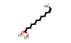 CCCC/C=C\CCCCCCCCCC(OCC)OCC